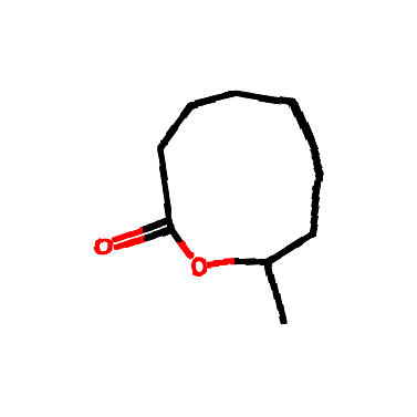 CC1CCCCCCC(=O)O1